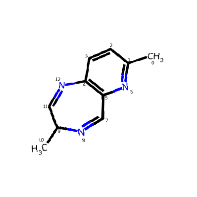 Cc1ccc2c(n1)C=NC(C)C=N2